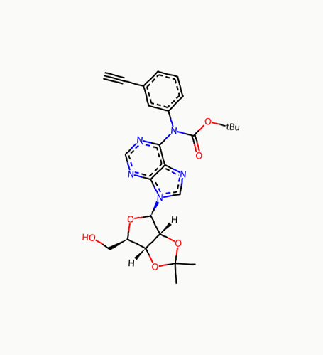 C#Cc1cccc(N(C(=O)OC(C)(C)C)c2ncnc3c2ncn3[C@@H]2O[C@H](CO)[C@H]3OC(C)(C)O[C@H]32)c1